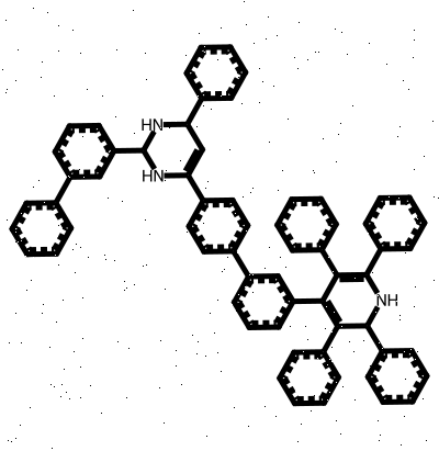 C1=C(c2ccc(-c3cccc(C4=C(c5ccccc5)C(c5ccccc5)NC(c5ccccc5)=C4c4ccccc4)c3)cc2)NC(c2cccc(-c3ccccc3)c2)NC1c1ccccc1